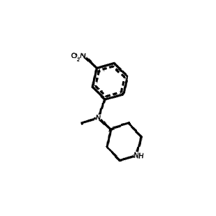 CN(c1cccc([N+](=O)[O-])c1)C1CCNCC1